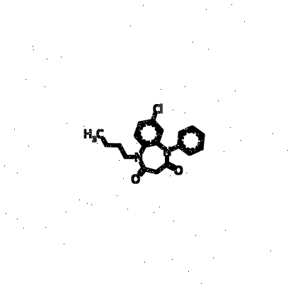 CCCCN1C(=O)CC(=O)N(c2ccccc2)c2cc(Cl)ccc21